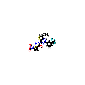 Cc1csc2c(NC(=O)c3ccc([N+](=O)[O-])s3)nc(-c3cccc(C(F)(F)F)c3)nc12